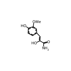 COc1cc(C=C(O)C(N)=O)ccc1O